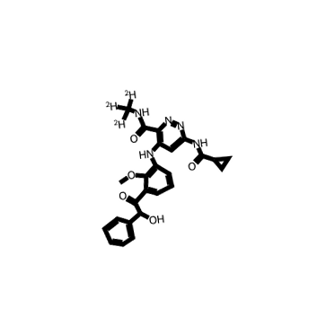 [2H]C([2H])([2H])NC(=O)c1nnc(NC(=O)C2CC2)cc1Nc1cccc(C(=O)C(O)c2ccccc2)c1OC